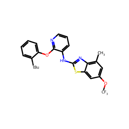 Cc1cc(OC(F)(F)F)cc2sc(Nc3cccnc3Oc3ccccc3C(C)(C)C)nc12